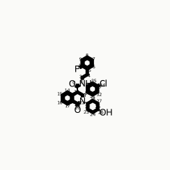 O=C(NCCc1ccccc1F)[C@@H]1c2ccccc2C(=O)N([C@H]2CC[C@H](O)CC2)[C@H]1c1ccc(Cl)cc1